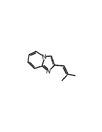 CC(C)=Cc1cn2ccccc2n1